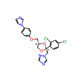 Clc1ccc([C@]2(Cn3cncn3)OC[C@@H](COc3ccc(-n4ccnc4)cc3)O2)c(Cl)c1